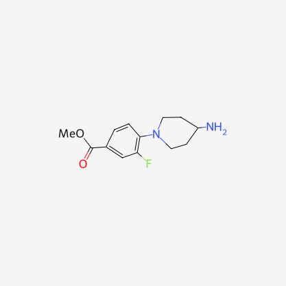 COC(=O)c1ccc(N2CCC(N)CC2)c(F)c1